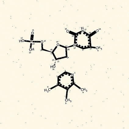 Cc1ccnc(C)c1C.Cc1cn([C@H]2C[C@H](O)[C@@H](COP(=O)(O)O)O2)c(=O)[nH]c1=O